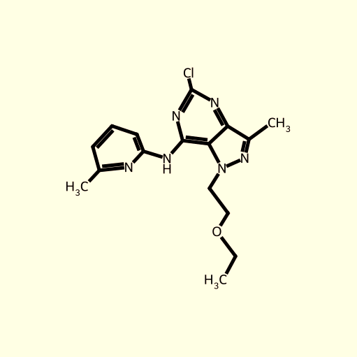 CCOCCn1nc(C)c2nc(Cl)nc(Nc3cccc(C)n3)c21